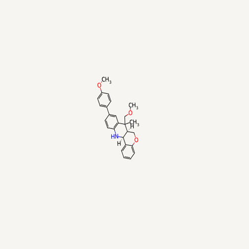 COCC1(C)c2cc(-c3ccc(OC)cc3)ccc2N[C@@H]2c3ccccc3OC[C@@H]21